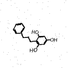 Oc1cc(O)c(CCCc2ccccc2)c(O)c1